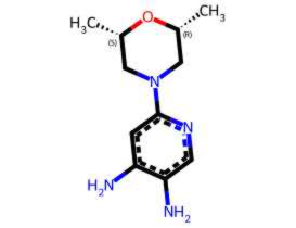 C[C@@H]1CN(c2cc(N)c(N)cn2)C[C@H](C)O1